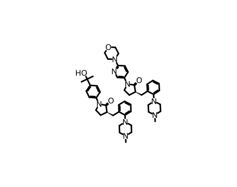 CN1CCN(c2ccccc2C[C@H]2CCN(c3ccc(C(C)(C)O)cc3)C2=O)CC1.CN1CCN(c2ccccc2C[C@H]2CCN(c3ccc(N4CCOCC4)nc3)C2=O)CC1